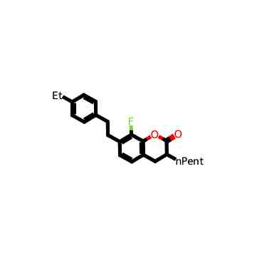 CCCCCC1Cc2ccc(CCc3ccc(CC)cc3)c(F)c2OC1=O